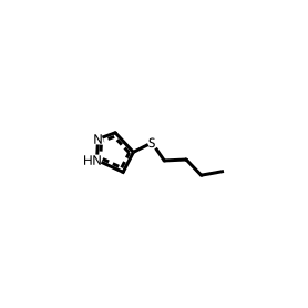 CCCCSc1cn[nH]c1